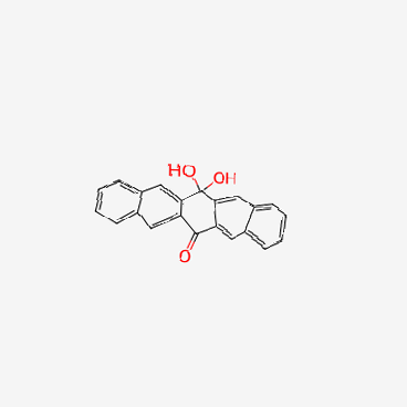 O=C1c2cc3ccccc3cc2C(O)(O)c2cc3ccccc3cc21